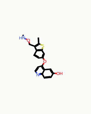 CNOCc1c(C)sc2cc(Oc3ccnc4ccc(O)cc34)ccc12